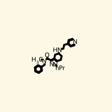 CCCn1nc(C(=O)N(C)Cc2ccccc2)c2c1CCC(NCCc1ccncc1)C2